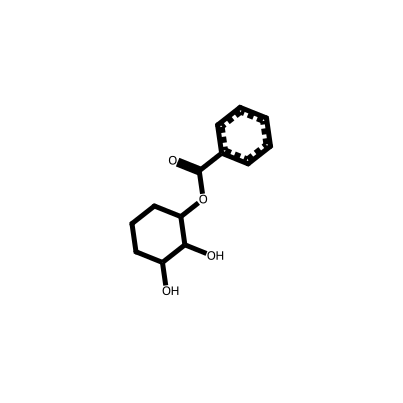 O=C(OC1CCCC(O)C1O)c1ccccc1